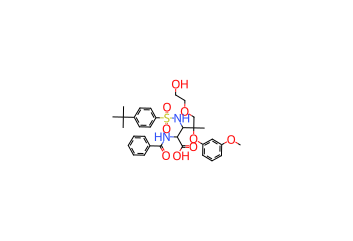 COc1cccc(OC(C)(COCCO)C(NS(=O)(=O)c2ccc(C(C)(C)C)cc2)C(NC(=O)c2ccccc2)C(=O)O)c1